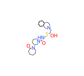 O=C(NCS[C@H](O)CN1CCc2ccccc2C1)N1CCC[C@@H](N2CCCCCC2=O)C1